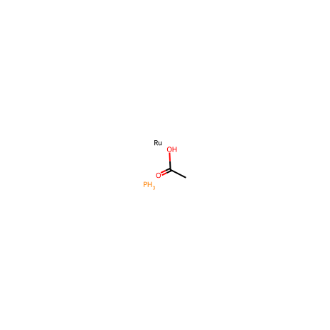 CC(=O)O.P.[Ru]